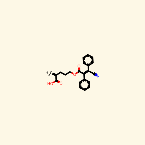 C=C(CCCOC(=O)C(=C(C#N)c1ccccc1)c1ccccc1)C(=O)O